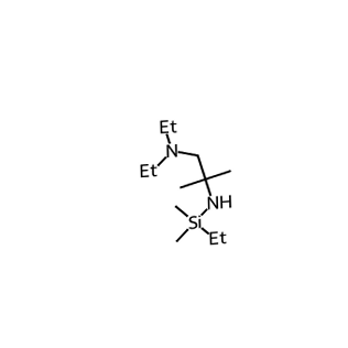 CCN(CC)CC(C)(C)N[Si](C)(C)CC